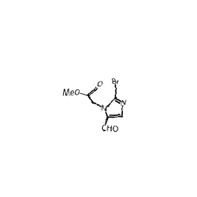 COC(=O)Cn1c(C=O)cnc1Br